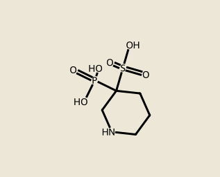 O=P(O)(O)C1(S(=O)(=O)O)CCCNC1